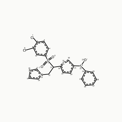 O=S(=O)(c1ccc(Cl)c(Cl)c1)C(Cn1ccnc1)c1ccc([S+]([O-])c2ccccc2)cc1